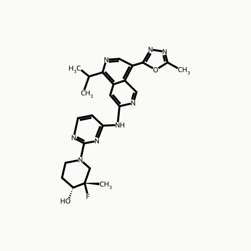 Cc1nnc(-c2cnc(C(C)C)c3cc(Nc4ccnc(N5CC[C@@H](O)[C@@](C)(F)C5)n4)ncc23)o1